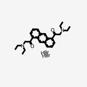 Br.Br.CCN(CC)CC(=O)c1cccc2cc3c(C(=O)CN(CC)CC)cccc3cc12